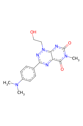 CN(C)c1ccc(-c2nc3c(=O)n(C)c(=O)nc-3n(CCO)n2)cc1